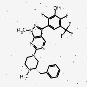 CN1CCN(c2ncc3c(-c4cc(C(F)(F)F)c(F)c(O)c4F)nn(C)c3n2)C[C@@H]1Cc1ccccc1